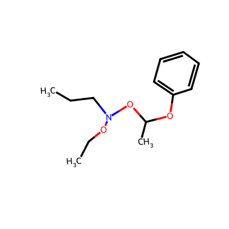 CCCN(OCC)OC(C)Oc1ccccc1